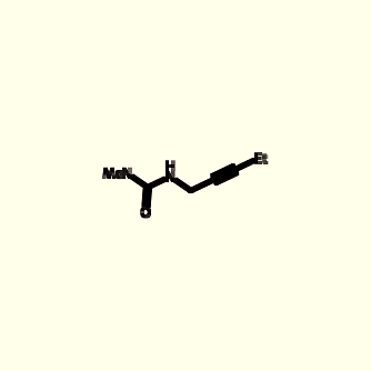 CCC#CCNC(=O)NC